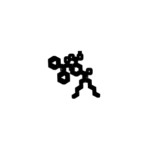 CCCCCN(CCCCC)C(=O)C1CCN(C(=O)N(c2ccccc2)c2ccccc2)C(C(=O)OC)C1